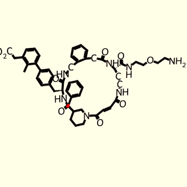 Cc1c(CC(=O)O)cccc1-c1ccc(C[C@@H]2NC(=O)[C@]3(Cc4ccccc4)CCCN(C3)C(=O)/C=C/C(=O)NCC[C@@H](C(=O)NCCOCCN)NC(=O)Cc3ccccc3CNC2=O)cc1